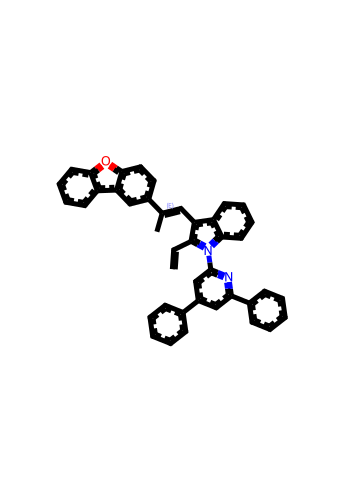 C=Cc1c(/C=C(\C)c2ccc3oc4ccccc4c3c2)c2ccccc2n1-c1cc(-c2ccccc2)cc(-c2ccccc2)n1